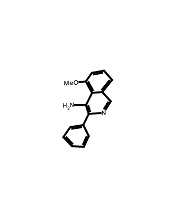 COc1cccc2cnc(-c3ccccc3)c(N)c12